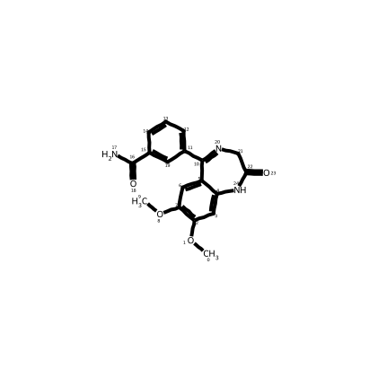 COc1cc2c(cc1OC)C(c1cccc(C(N)=O)c1)=NCC(=O)N2